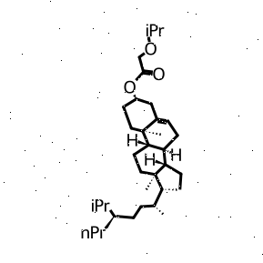 CCC[C@H](CC[C@@H](C)[C@H]1CC[C@H]2[C@@H]3CC=C4C[C@@H](OC(=O)COC(C)C)CC[C@]4(C)[C@H]3CC[C@]12C)C(C)C